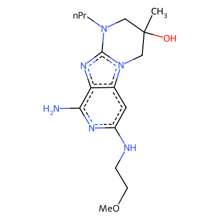 CCCN1CC(C)(O)Cn2c1nc1c(N)nc(NCCOC)cc12